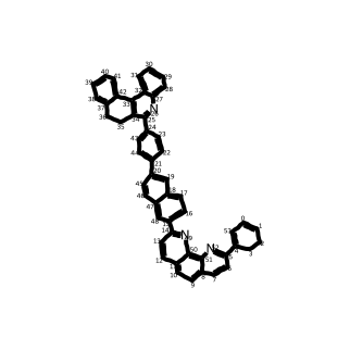 C1=CCCC(c2ccc3ccc4ccc(-c5ccc6cc(-c7ccc(-c8nc9ccccc9c9c8CCc8ccccc8-9)cc7)ccc6c5)nc4c3n2)=C1